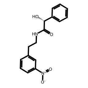 O=C(NCCc1cccc([N+](=O)[O-])c1)[C@H](O)c1ccccc1